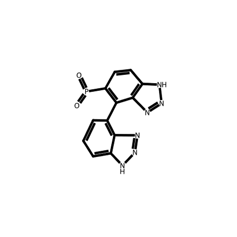 O=P(=O)c1ccc2[nH]nnc2c1-c1cccc2[nH]nnc12